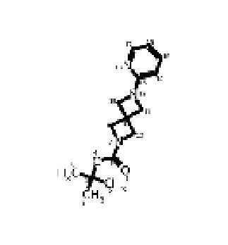 CC(C)(C)OC(=O)N1CC2(C1)CN(c1ccccn1)C2